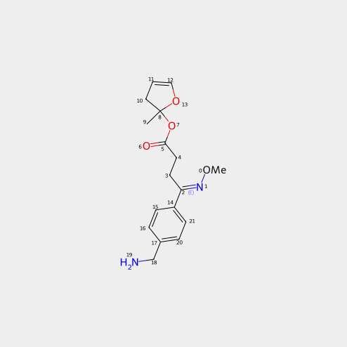 CO/N=C(\CCC(=O)OC1(C)CC=CO1)c1ccc(CN)cc1